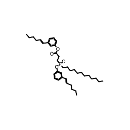 CCCCC=Cc1cccc(OC(=O)CCP(=O)(CCCCCCCCCCCC)Oc2cccc(C=CCCCC)c2)c1